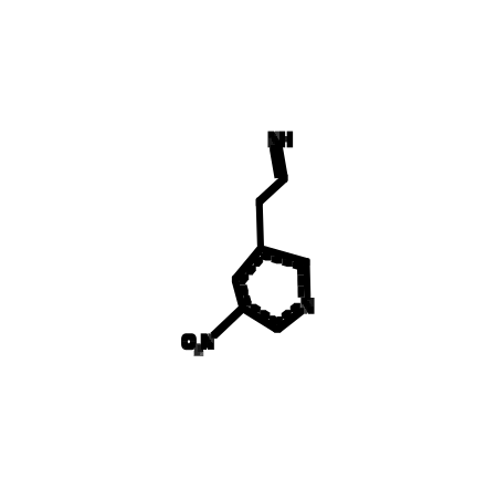 N=CCc1cncc([N+](=O)[O-])c1